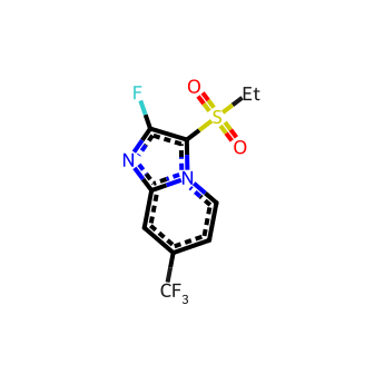 CCS(=O)(=O)c1c(F)nc2cc(C(F)(F)F)ccn12